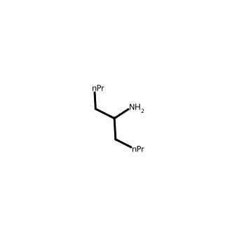 CCCC[C](N)CCCC